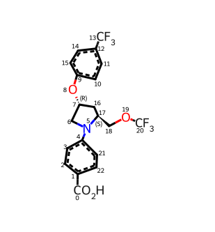 O=C(O)c1ccc(N2C[C@H](Oc3ccc(C(F)(F)F)cc3)C[C@H]2COC(F)(F)F)cc1